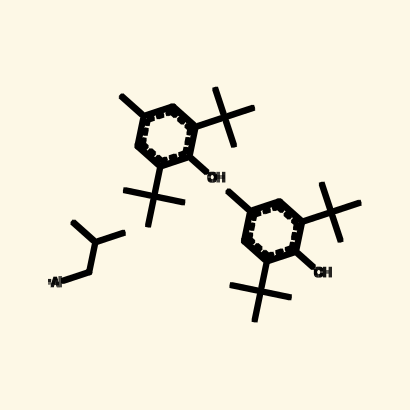 CC(C)[CH2][Al].Cc1cc(C(C)(C)C)c(O)c(C(C)(C)C)c1.Cc1cc(C(C)(C)C)c(O)c(C(C)(C)C)c1